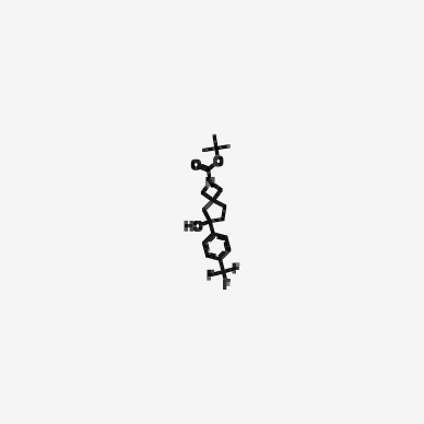 CC(C)(C)OC(=O)N1CC2(CCC(O)(c3ccc(C(F)(F)F)cc3)C2)C1